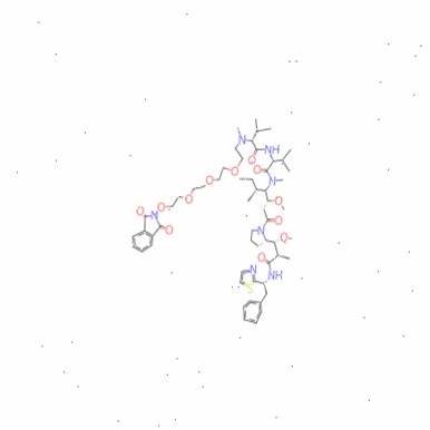 CC[C@H](C)C([C@@H](CC(=O)N1CCC[C@H]1[C@H](OC)[C@@H](C)C(=O)N[C@@H](Cc1ccccc1)c1nccs1)OC)N(C)C(=O)[C@@H](NC(=O)[C@H](C(C)C)N(C)CCOCCOCCOCCON1C(=O)c2ccccc2C1=O)C(C)C